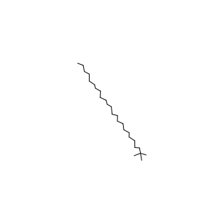 CCCCCCCCCCCCCCCCCCCCCCC(C)(C)C